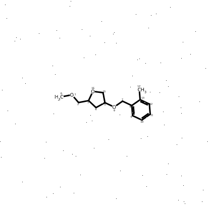 COCC1CC(OCc2ccccc2C)CO1